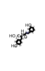 O=C(/C=C/c1cccc(O)c1)N[C@@H](Cc1ccc(O)cc1)C(=O)O